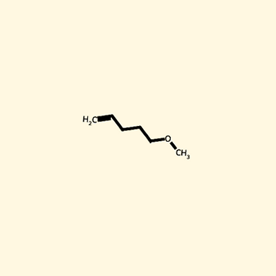 C=CCC[CH]OC